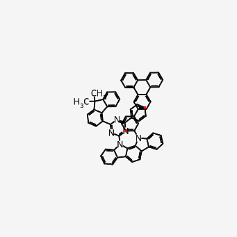 CC1(C)c2ccccc2-c2c(-c3nc(-c4ccccc4)nc(-n4c5ccccc5c5ccc6c7ccccc7n(-c7cccc(-c8ccc9c%10ccccc%10c%10ccccc%10c9c8)c7)c6c54)n3)cccc21